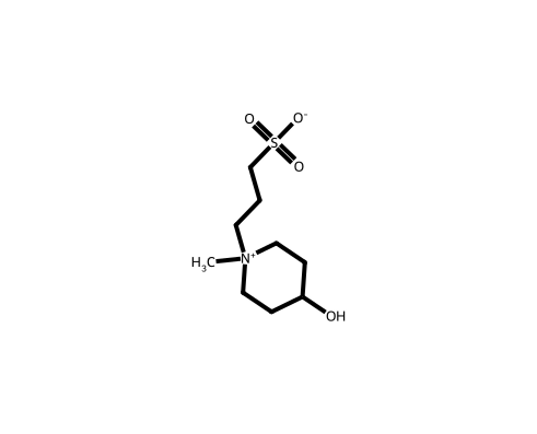 C[N+]1(CCCS(=O)(=O)[O-])CCC(O)CC1